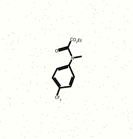 CCOC(=O)C(=O)N(C)c1ccc(C(F)(F)F)cc1